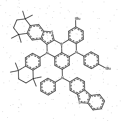 CC(C)(C)c1ccc(N2c3ccc(C(C)(C)C)cc3B3c4sc5cc6c(cc5c4N(c4ccc5c(c4)C(C)(C)CCC5(C)C)c4cc(N(c5ccccc5)c5ccc7c(c5)sc5ccccc57)cc2c43)C(C)(C)CCC6(C)C)cc1